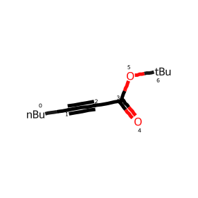 CCCCC#CC(=O)OC(C)(C)C